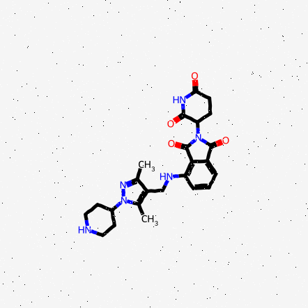 Cc1nn(C2CCNCC2)c(C)c1CNc1cccc2c1C(=O)N(C1CCC(=O)NC1=O)C2=O